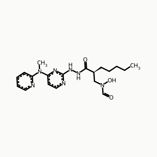 CCCCC[C@@H](CN(O)C=O)C(=O)NNc1nccc(N(C)c2ccccn2)n1